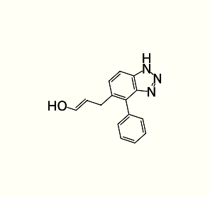 OC=CCc1ccc2[nH]nnc2c1-c1ccccc1